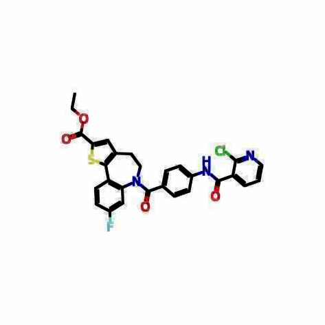 CCOC(=O)c1cc2c(s1)-c1ccc(F)cc1N(C(=O)c1ccc(NC(=O)c3cccnc3Cl)cc1)CC2